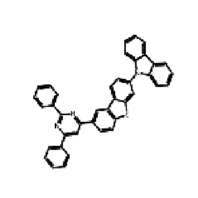 c1ccc(-c2cc(-c3ccc4sc5cc(-n6c7ccccc7c7ccccc76)ccc5c4c3)nc(-c3ccccc3)n2)cc1